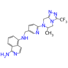 CC1Cn2c(nnc2C(F)(F)F)CN1c1ccc(CNc2cccc3c(N)nccc23)cn1